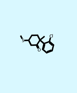 CSC1CCC(C)(c2ccccc2Cl)C(=O)C1